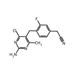 Cc1nc(N)nc(Cl)c1Cc1ccc(CC#N)cc1F